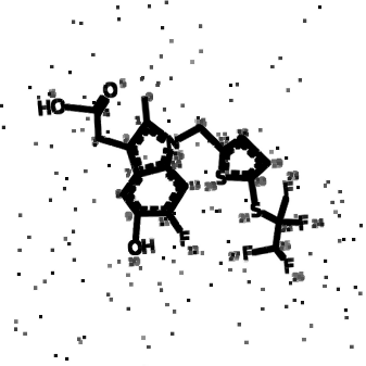 Cc1c(CC(=O)O)c2cc(O)c(F)cc2n1Cc1ccc(SC(F)(F)C(F)F)s1